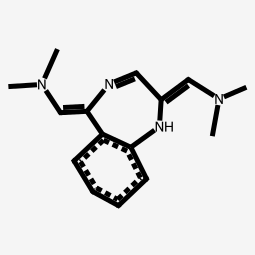 CN(C)C=C1C=NC(=CN(C)C)c2ccccc2N1